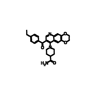 CCc1ccc(C(=O)c2cnc3cc4c(cc3c2N2CCC(C(N)=O)CC2)OCCO4)cc1